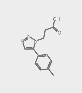 Cc1ccc(-c2cnnn2CCC(=O)O)cc1